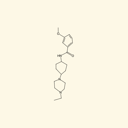 CCN1CCN(C2CCC(NC(=O)c3cccc(OC)c3)CC2)CC1